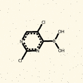 OB(O)c1nc(Cl)ncc1Cl